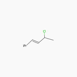 CC(C)C=CC(C)Cl